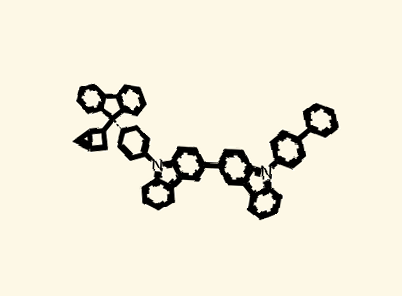 C1=C[C@H](C2(C3CC4=CC43)c3ccccc3-c3ccccc32)CC=C1n1c2ccccc2c2cc(-c3ccc4c(c3)c3ccccc3n4-c3ccc(-c4ccccc4)cc3)ccc21